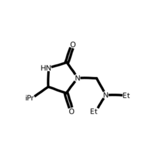 CCN(CC)CN1C(=O)NC(C(C)C)C1=O